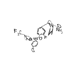 NC(=O)C1CCC(Cc2ccc(C(=O)Nc3ccc(Cl)cc3N3CCN(CCC(F)(F)F)CC3)c(F)c2)N1